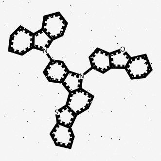 c1ccc2c(c1)oc1ccc(-n3c4cc(-n5c6ccccc6c6ccccc65)ccc4c4c5sc6ccccc6c5ccc43)cc12